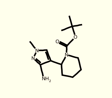 Cn1cc(C2CCCCN2C(=O)OC(C)(C)C)c(N)n1